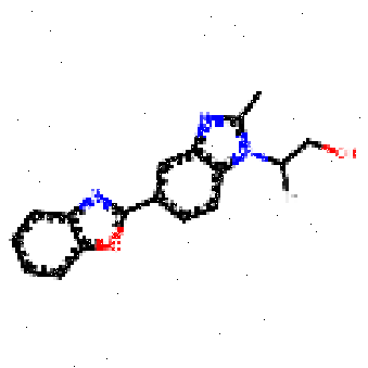 CCC(CO)n1c(C)nc2cc(-c3nc4ccccc4o3)ccc21